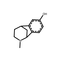 CN1CCC2CC1c1ccc(O)cc12